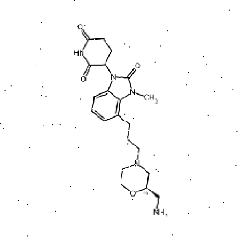 Cn1c(=O)n(C2CCC(=O)NC2=O)c2cccc(CCCN3CCO[C@H](CN)C3)c21